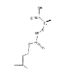 CC(C)CCOC(=O)NO[C@H](C)C(=O)O